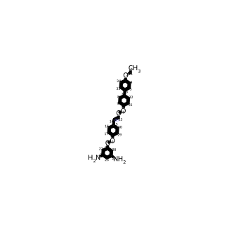 CCOc1ccc(-c2ccc(OO/C=C/c3ccc(OOc4cc(N)cc(N)c4)cc3)cc2)cc1